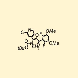 COc1cc(OC)c(F)c(C(=O)c2oc3cnc(Cl)cc3c2N(C)C(=O)OC(C)(C)C)c1F